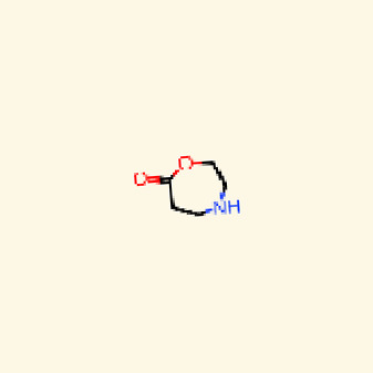 O=C1CCNCCO1